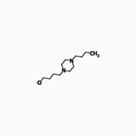 CCCCN1CCN(CCCC[O])CC1